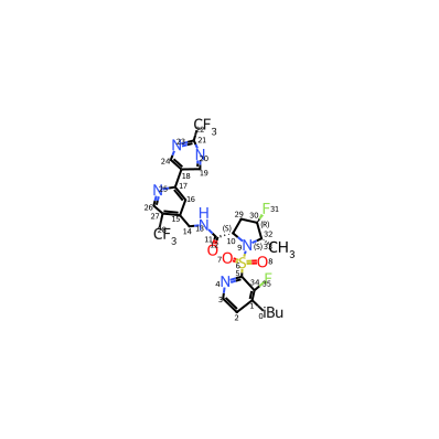 CCC(C)c1ccnc(S(=O)(=O)N2[C@H](C(=O)NCc3cc(-c4cnc(C(F)(F)F)nc4)ncc3C(F)(F)F)C[C@@H](F)[C@@H]2C)c1F